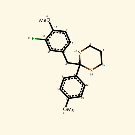 COc1ccc(C2(Cc3ccc(OC)c(F)c3)SCCCS2)cc1